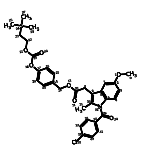 COc1ccc2c(c1)c(CC(=O)OCc1ccc(OC(=O)OCCS(C)(C)C)cc1)c(C)n2C(=O)c1ccc(Cl)cc1